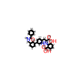 CN(Cc1cccc(-c2ccc(CC(Nc3ccccc3C(=O)O)C(=O)O)cc2)c1)C(=O)c1ccccc1